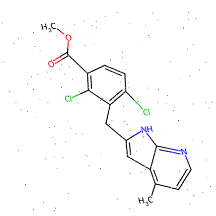 COC(=O)c1ccc(Cl)c(Cc2cc3c(C)ccnc3[nH]2)c1Cl